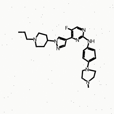 CCCN1CCC(n2cc(-c3nc(Nc4ccc(N5CCN(C)CC5)cc4)ncc3F)cn2)CC1